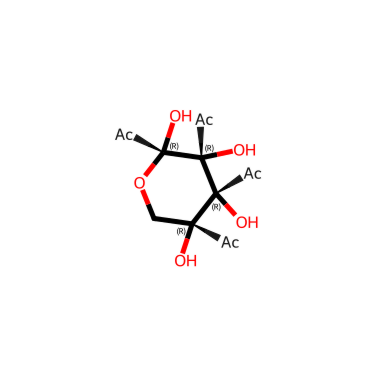 CC(=O)[C@@]1(O)[C@@](O)(C(C)=O)[C@@](O)(C(C)=O)CO[C@@]1(O)C(C)=O